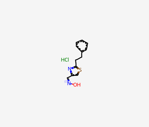 Cl.O/N=C\c1csc(CCc2ccccc2)n1